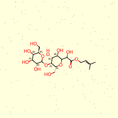 CC(C)=CCOC(=O)C(O)C1O[C@H](CO)[C@@H](OC2O[C@H](CO)[C@H](O)[C@H](O)[C@H]2O)[C@H](O)[C@H]1O